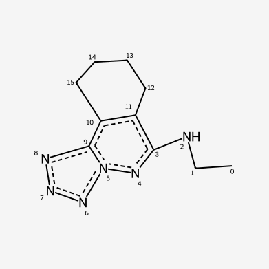 CCNc1nn2nnnc2c2c1CCCC2